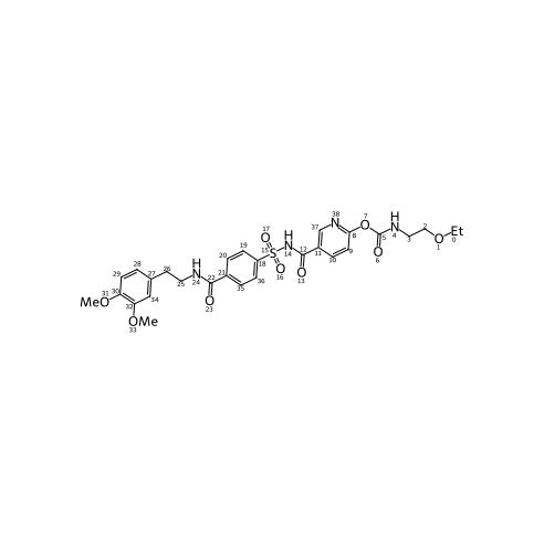 CCOCCNC(=O)Oc1ccc(C(=O)NS(=O)(=O)c2ccc(C(=O)NCCc3ccc(OC)c(OC)c3)cc2)cn1